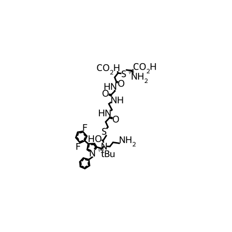 CC(C)(C)[C@H](c1cc(-c2cc(F)ccc2F)cn1Cc1ccccc1)N(CCCN)C(O)CSCCC(=O)NCCNC(=O)CNC(=O)CC(SC[C@H](N)C(=O)O)C(=O)O